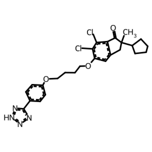 CC1(C2CCCC2)Cc2cc(OCCCCOc3ccc(-c4nn[nH]n4)cc3)c(Cl)c(Cl)c2C1=O